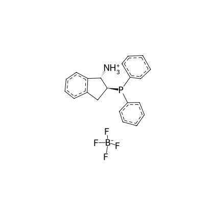 F[B-](F)(F)F.[NH3+][C@H]1c2ccccc2C[C@@H]1P(c1ccccc1)c1ccccc1